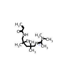 C=CC(=O)NCC(C)(CC)CC(C)(C)C/N=C(\C)N(C)C